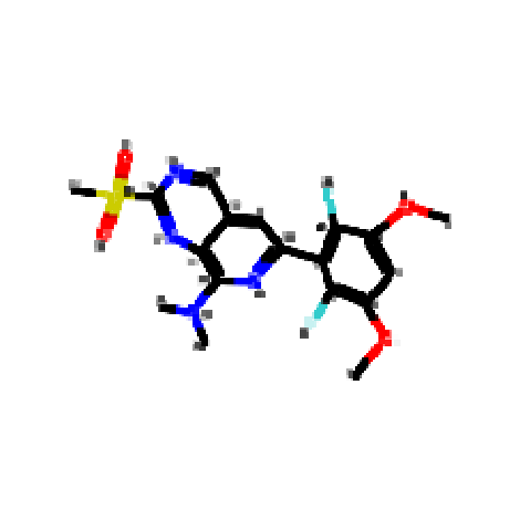 COc1cc(OC)c(F)c(-c2cc3cnc(S(C)(=O)=O)nc3c(N(C)C)n2)c1F